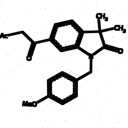 COc1ccc(CN2C(=O)C(C)(C)c3ccc(C(=O)CC(C)=O)cc32)cc1